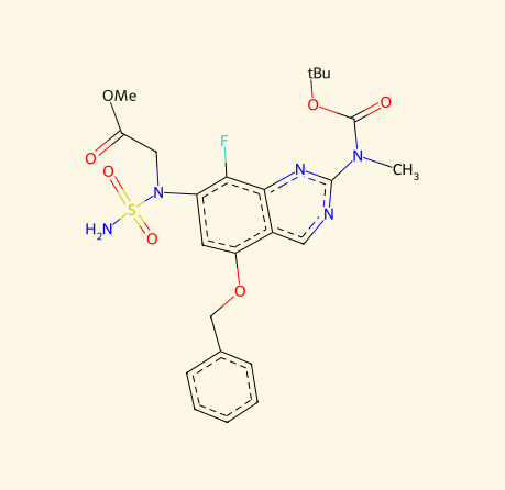 COC(=O)CN(c1cc(OCc2ccccc2)c2cnc(N(C)C(=O)OC(C)(C)C)nc2c1F)S(N)(=O)=O